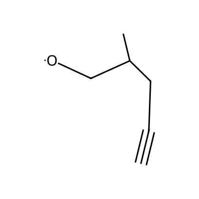 C#CCC(C)C[O]